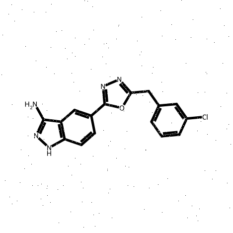 Nc1n[nH]c2ccc(-c3nnc(Cc4cccc(Cl)c4)o3)cc12